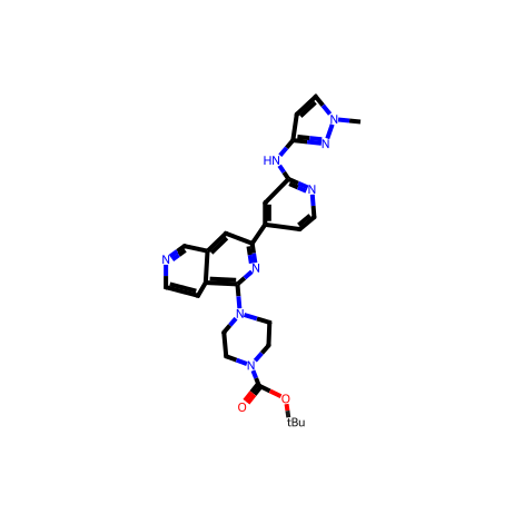 Cn1ccc(Nc2cc(-c3cc4cnccc4c(N4CCN(C(=O)OC(C)(C)C)CC4)n3)ccn2)n1